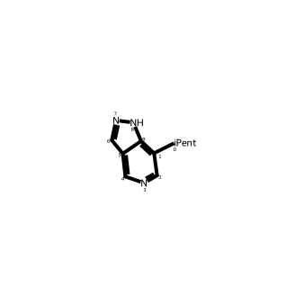 CCCC(C)c1cncc2cn[nH]c12